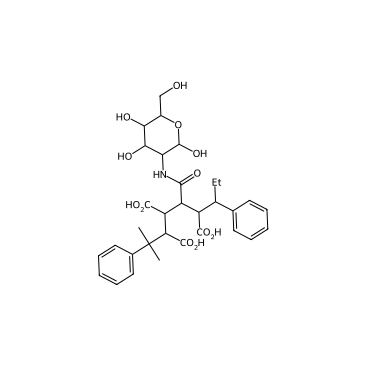 CCC(c1ccccc1)C(C(=O)O)C(C(=O)NC1C(O)OC(CO)C(O)C1O)C(C(=O)O)C(C(=O)O)C(C)(C)c1ccccc1